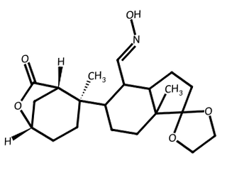 CC12CCC([C@@]3(C)CC[C@H]4C[C@@H]3C(=O)O4)C(/C=N/O)C1CCC21OCCO1